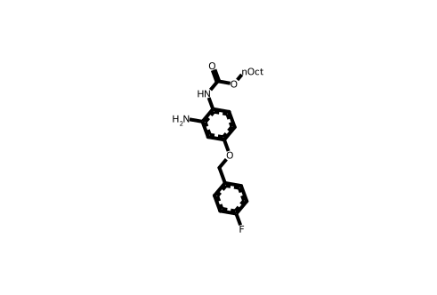 CCCCCCCCOC(=O)Nc1ccc(OCc2ccc(F)cc2)cc1N